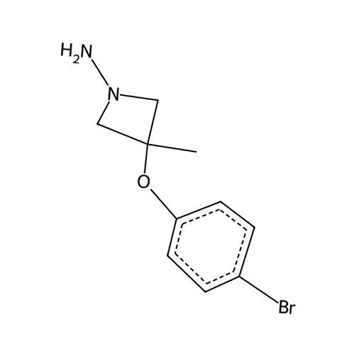 CC1(Oc2ccc(Br)cc2)CN(N)C1